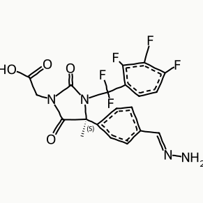 C[C@]1(c2ccc(C=NN)cc2)C(=O)N(CC(=O)O)C(=O)N1C(F)(F)c1ccc(F)c(F)c1F